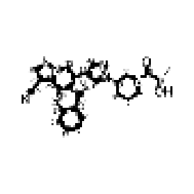 C[C@H](O)C(=O)N1CCC[C@@H](n2cc(-c3cc(Sc4ccccc4C#N)c4c(C#N)cnn4c3)cn2)C1